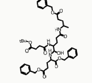 CC(CCC(=O)OCc1ccccc1)NC(=O)CCC(NC(=O)CCC(=O)OC(C)(C)C)C(O)NC(CCC(=O)OCc1ccccc1)C(=O)OCc1ccccc1